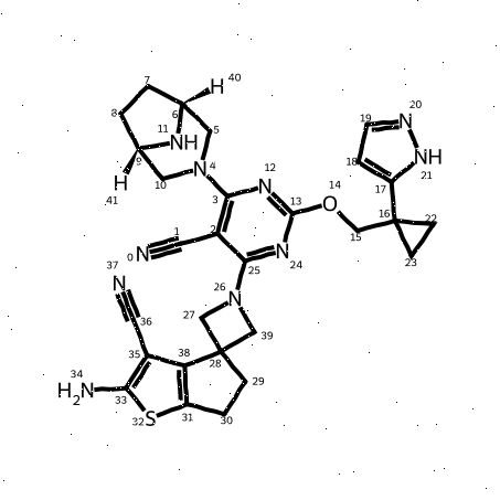 N#Cc1c(N2C[C@H]3CC[C@@H](C2)N3)nc(OCC2(c3ccn[nH]3)CC2)nc1N1CC2(CCc3sc(N)c(C#N)c32)C1